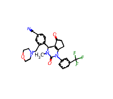 CN1C(=O)N(c2cccc(C(F)(F)F)c2)C2=C(C(=O)CC2)C1c1ccc(C#N)cc1CN1CCOCC1